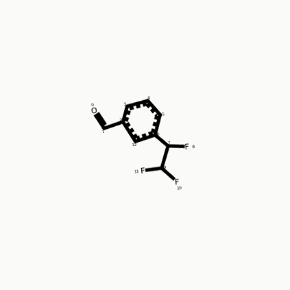 O=Cc1cccc(C(F)C(F)F)c1